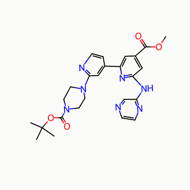 COC(=O)c1cc(Nc2cnccn2)nc(-c2ccnc(N3CCN(C(=O)OC(C)(C)C)CC3)c2)c1